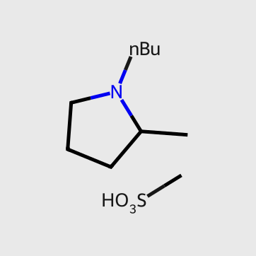 CCCCN1CCCC1C.CS(=O)(=O)O